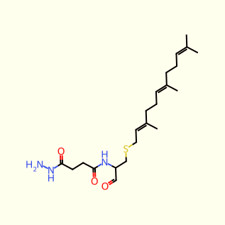 CC(C)=CCC/C(C)=C/CC/C(C)=C/CSCC(C=O)NC(=O)CCC(=O)NN